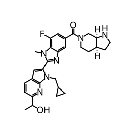 CC(O)c1ccc2cc(-c3nc4cc(C(=O)N5CC[C@@H]6CCN[C@@H]6C5)cc(F)c4n3C)n(CC3CC3)c2n1